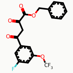 O=C(CC(=O)c1cc(F)cc(OC(F)(F)F)c1)C(=O)OCc1ccccc1